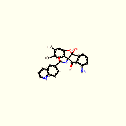 Cc1cc2c(cc1C)C1(NC(=O)c3ccc4ncccc4c3)C(=O)c3c(N)cccc3C1(O)O2